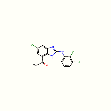 COC(=O)c1cc(Cl)cc2nc(Nc3cccc(Cl)c3Cl)[nH]c12